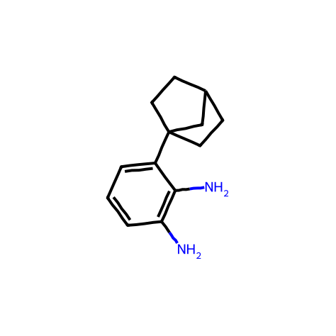 Nc1cccc(C23CCC(CC2)C3)c1N